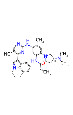 C=CC(=O)Nc1cc(Nc2ncc(C#N)c(-c3cn4c5c(cccc35)CCC4)n2)c(C)cc1N1CC[C@@H](N(C)C)C1